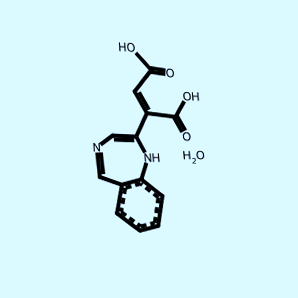 O.O=C(O)/C=C(\C(=O)O)C1=CN=Cc2ccccc2N1